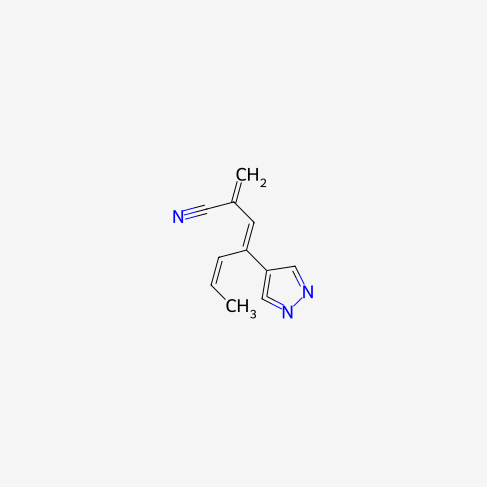 C=C(C#N)/C=C(\C=C/C)C1=C=NN=C1